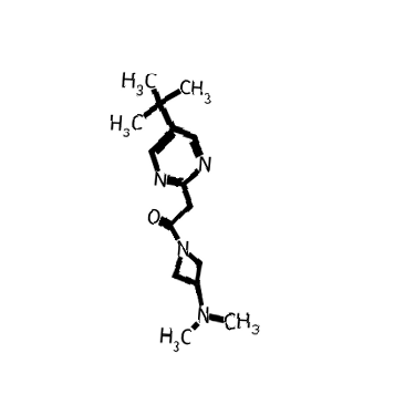 CN(C)C1CN(C(=O)Cc2ncc(C(C)(C)C)cn2)C1